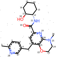 Cc1ccc(Cc2cc(C(=O)N[C@H]3CCCC[C@@H]3O)nc3c2OCCN3C)cn1